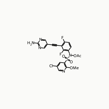 COc1ncc(Cl)cc1S(=O)(=O)N(OC(C)=O)c1ccc(F)c(C#Cc2cnc(N)nc2)c1F